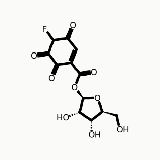 O=C(O[C@H]1O[C@@H](CO)[C@H](O)[C@@H]1O)C1=CC(=O)C(F)C(=O)C1=O